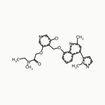 CCN(C)C(=O)COc1cncc(Cl)c1COc1cccc2c(-c3ccnn3C)cc(C)nc12